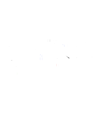 O=C(O)N[C@@H](Cc1ccccc1)[C@H](O)CNCc1cc(F)cc(F)c1